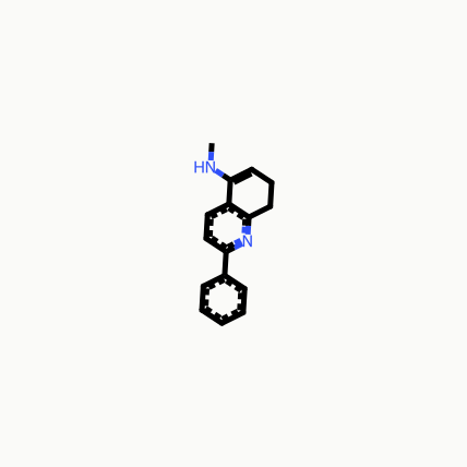 CNC1=CCCc2nc(-c3ccccc3)ccc21